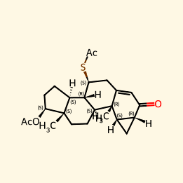 CC(=O)O[C@H]1CC[C@H]2[C@@H]3[C@@H](SC(C)=O)CC4=CC(=O)[C@@H]5C[C@@H]5[C@]4(C)[C@H]3CC[C@]12C